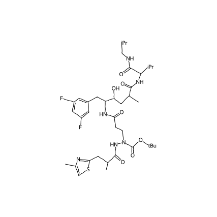 Cc1csc(CC(C)C(=O)NN(CCC(=O)NC(Cc2cc(F)cc(F)c2)C(O)CC(C)C(=O)NC(C(=O)NCC(C)C)C(C)C)C(=O)OC(C)(C)C)n1